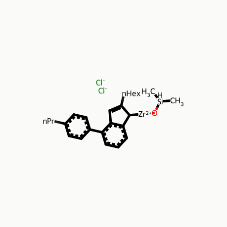 CCCCCCC1=Cc2c(-c3ccc(CCC)cc3)cccc2[CH]1[Zr+2][O][SiH](C)C.[Cl-].[Cl-]